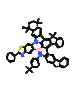 CC(C)(C)c1ccc(N2B3c4cc5nc(-c6ccccc6)sc5cc4-n4c5cc6c(cc5c5c7c(c(c3c54)-c3cc4c(cc32)Cc2ccccc2-4)-c2ccccc2C7(C)C)C(C)(C)CCC6(C)C)cc1